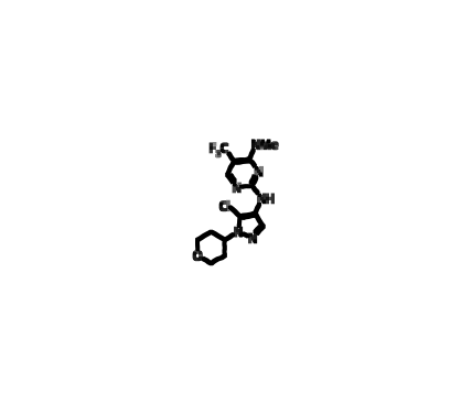 CNc1nc(Nc2cnn(C3CCOCC3)c2Cl)ncc1C(F)(F)F